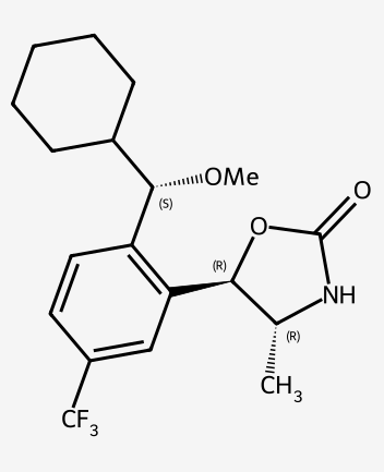 CO[C@H](c1ccc(C(F)(F)F)cc1[C@H]1OC(=O)N[C@@H]1C)C1CCCCC1